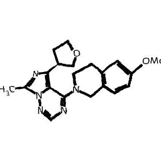 COc1ccc2c(c1)CCN(c1ncnn3c(C)nc([C@H]4CCOC4)c13)C2